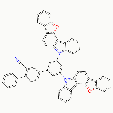 N#Cc1cc(-c2cc(-n3c4ccccc4c4c5oc6ccccc6c5ccc43)cc(-n3c4ccccc4c4c5oc6ccccc6c5ccc43)c2)ccc1-c1ccccc1